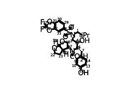 CC(C)CN(C[C@@H](O)[C@H](Cc1ccc(O)cc1)N(C(=O)O)[C@H]1CO[C@H]2OCC[C@H]21)S(=O)(=O)c1ccc2c(c1)OC(F)(F)O2